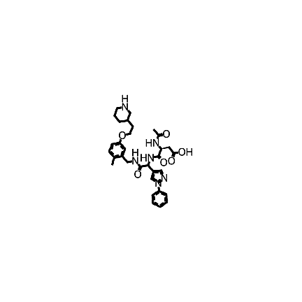 CC(=O)N[C@@H](CC(=O)O)C(=O)NC(C(=O)NCc1cc(OCCC2CCCNC2)ccc1C)c1cnn(-c2ccccc2)c1